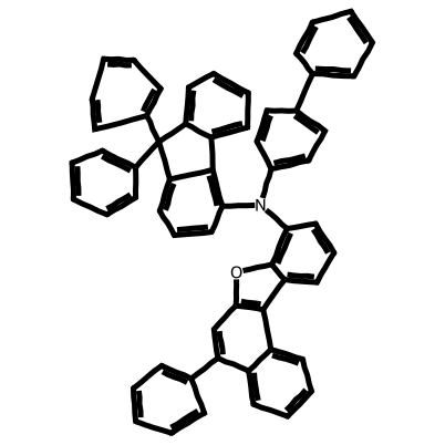 c1ccc(-c2ccc(N(c3cccc4c3-c3ccccc3C4(c3ccccc3)c3ccccc3)c3cccc4c3oc3cc(-c5ccccc5)c5ccccc5c34)cc2)cc1